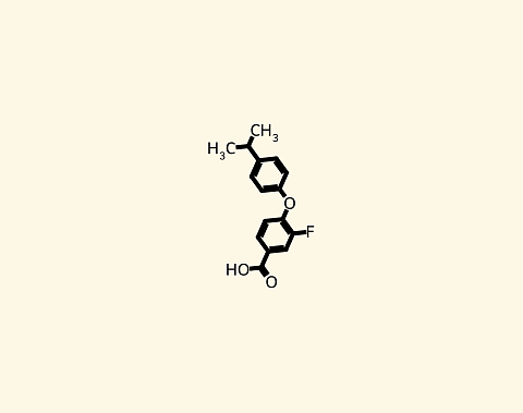 CC(C)c1ccc(Oc2ccc(C(=O)O)cc2F)cc1